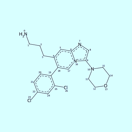 NCCCc1cc2ncc(N3CCOCC3)n2cc1-c1ccc(Cl)cc1Cl